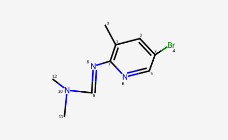 Cc1cc(Br)cnc1/N=C/N(C)C